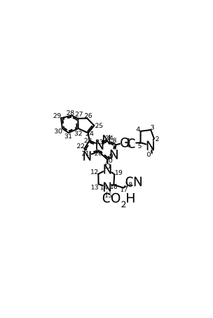 CN1CCCC1COc1nc(N2CCN(C(=O)O)C(CC#N)C2)c2ncc(C3=CCc4ccccc43)n2n1